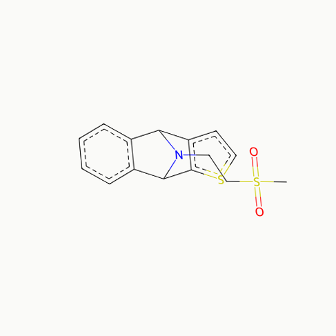 CS(=O)(=O)CCN1C2c3ccccc3C1c1sccc12